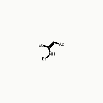 CCN/C(=C\C(C)=O)CC